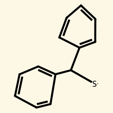 [S]C(c1ccccc1)c1ccccc1